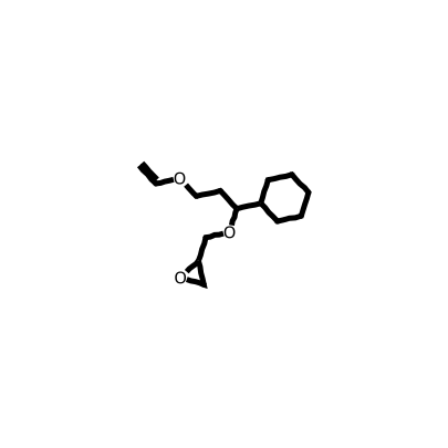 C=COCCC(OCC1CO1)C1CCCCC1